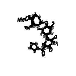 COc1ccc(Oc2c(C)cc(-n3nc(C(=O)N4CCSC4)c(=O)[nH]c3=O)cc2C)cc1Br